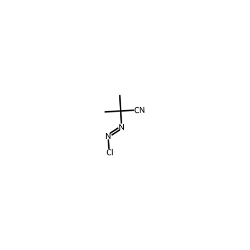 CC(C)(C#N)N=NCl